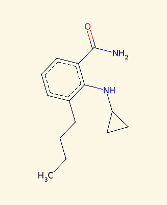 CCCCc1cccc(C(N)=O)c1NC1CC1